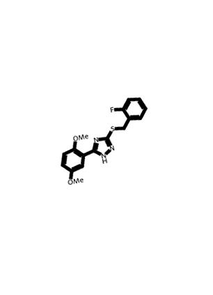 COc1ccc(OC)c(-c2nc(SCc3ccccc3F)n[nH]2)c1